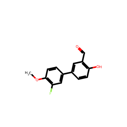 COc1ccc(-c2ccc(O)c(C=O)c2)cc1F